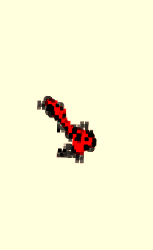 COC(=O)N[C@@H]1CC[C@@H](n2c(=O)n(C)c3cnc4[nH]c(-c5ccc(C(=O)NCCCCNc6ccc7c(c6)C(=O)N(C6CCC(=O)NC6=O)C7=O)c(F)c5)c(-c5ccc6c(cnn6C(C)C)c5)c4c32)C1